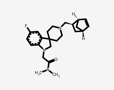 CN(C)C(=O)CN1CC2(CCN(C[C@@H]3C[C@H]4C=C[C@H]3C4)CC2)c2cc(F)ccc21